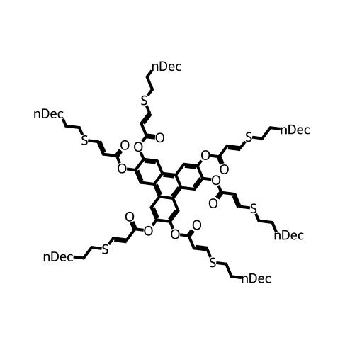 CCCCCCCCCCCCS/C=C/C(=O)Oc1cc2c3cc(OC(=O)/C=C/SCCCCCCCCCCCC)c(OC(=O)/C=C/SCCCCCCCCCCCC)cc3c3cc(OC(=O)/C=C/SCCCCCCCCCCCC)c(OC(=O)/C=C/SCCCCCCCCCCCC)cc3c2cc1OC(=O)/C=C/SCCCCCCCCCCCC